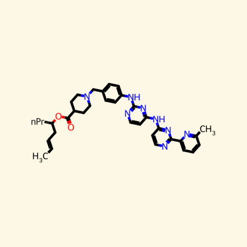 C/C=C/CC(CCC)OC(=O)C1CCN(Cc2ccc(Nc3nccc(Nc4ccnc(-c5cccc(C)n5)n4)n3)cc2)CC1